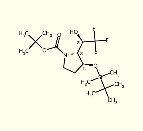 CC(C)(C)OC(=O)N1CC[C@H](O[Si](C)(C)C(C)(C)C)[C@H]1[C@@H](O)C(F)(F)F